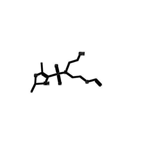 C=COCCN(CCO)S(=O)(=O)C1=C(C)OC(C)N1